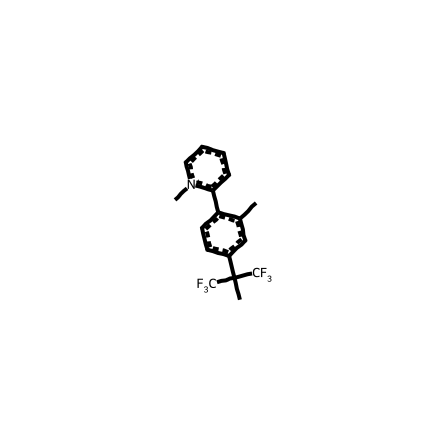 Cc1cc(C(C)(C(F)(F)F)C(F)(F)F)ccc1-c1cccc[n+]1C